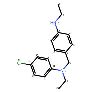 CCNc1ccc(CN(CC)c2ccc(Cl)cc2)cc1